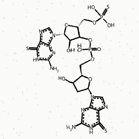 Nc1nc2c(ncn2[C@@H]2O[C@H](COP(O)(O)=S)C(OP(=O)(O)OC[C@H]3O[C@@H](n4cnc5c(=S)[nH]c(N)nc54)CC3O)C2O)c(=S)[nH]1